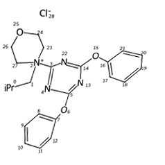 CC(C)C[N+]1(c2nc(Oc3ccccc3)nc(Oc3ccccc3)n2)CCOCC1.[Cl-]